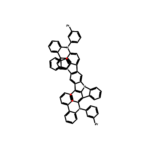 CC(C)c1cccc(N(c2ccccc2-c2ccccc2)c2ccc3c4cc5c(cc4n4c6ccccc6c2c34)c2ccc(N(c3cccc(C(C)C)c3)c3ccccc3-c3ccccc3)c3c4ccccc4n5c23)c1